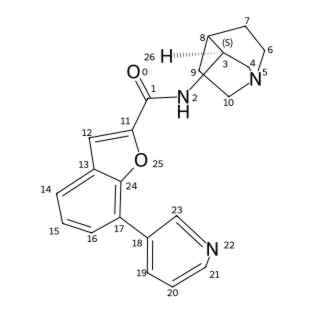 O=C(N[C@@H]1CN2CCC1CC2)c1cc2cccc(-c3cccnc3)c2o1